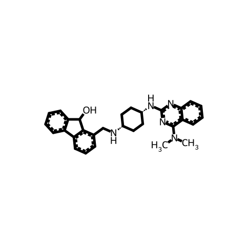 CN(C)c1nc(N[C@H]2CC[C@@H](NCc3cccc4c3C(O)c3ccccc3-4)CC2)nc2ccccc12